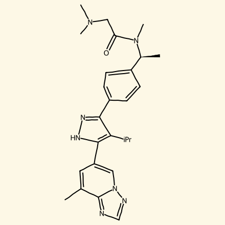 Cc1cc(-c2[nH]nc(-c3ccc([C@H](C)N(C)C(=O)CN(C)C)cc3)c2C(C)C)cn2ncnc12